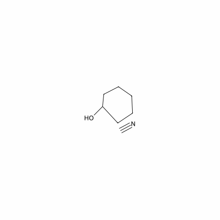 C#N.OC1CCCCC1